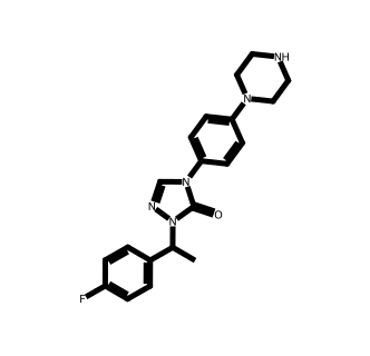 CC(c1ccc(F)cc1)n1ncn(-c2ccc(N3CCNCC3)cc2)c1=O